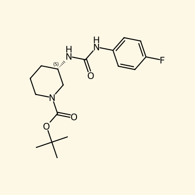 CC(C)(C)OC(=O)N1CCC[C@H](NC(=O)Nc2ccc(F)cc2)C1